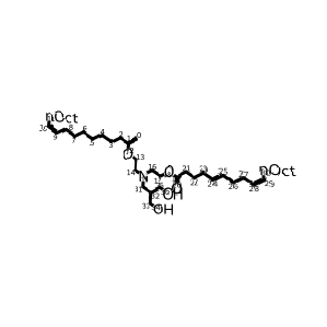 C=C(CCCCCCC/C=C\CCCCCCCC)OCCN(CCOC(=O)CCCCCCC/C=C\CCCCCCCC)CC(CO)CO